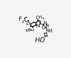 Cc1cc(-c2nnc(N[C@H]3C[C@@H](O)C3)o2)nc2c(C(C)(C)C)cc(OCC(F)(F)F)cc12